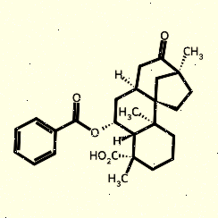 C[C@]12CC[C@]3(C1)[C@H](CC2=O)C[C@@H](OC(=O)c1ccccc1)[C@@H]1[C@]3(C)CCC[C@]1(C)C(=O)O